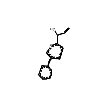 C=CC(O)c1ccc(-c2ccccc2)cn1